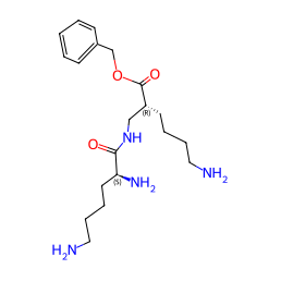 NCCCC[C@H](CNC(=O)[C@@H](N)CCCCN)C(=O)OCc1ccccc1